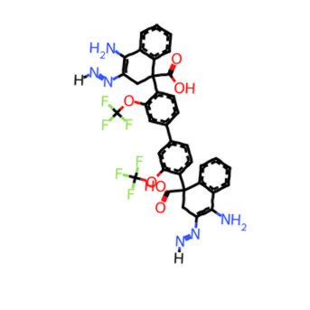 [H]/N=N/C1=C(N)c2ccccc2C(C(=O)O)(c2ccc(-c3ccc(C4(C(=O)O)CC(/N=N/[H])=C(N)c5ccccc54)c(OC(F)(F)F)c3)cc2OC(F)(F)F)C1